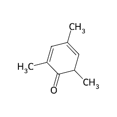 CC1=CC(C)C(=O)C(C)=C1